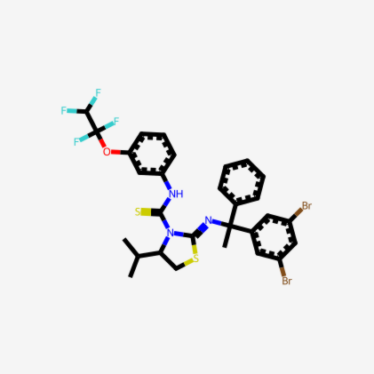 CC(C)C1CSC(=NC(C)(c2ccccc2)c2cc(Br)cc(Br)c2)N1C(=S)Nc1cccc(OC(F)(F)C(F)F)c1